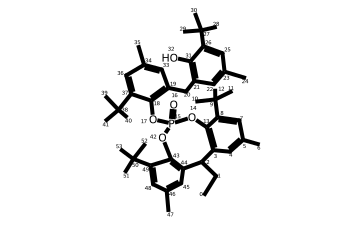 CCC1c2cc(C)cc(C(C)(C)C)c2OP(=O)(Oc2c(Cc3cc(C)cc(C(C)(C)C)c3O)cc(C)cc2C(C)(C)C)Oc2c1cc(C)cc2C(C)(C)C